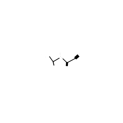 C#CC(=O)NC(C)C(=O)O